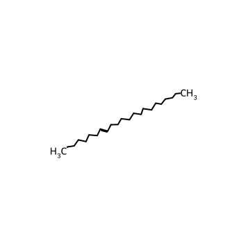 CCCCCCC/C=C/CCCCCCCCCCCCCC